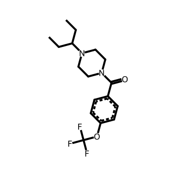 CCC(CC)N1CCN(C(=O)c2ccc(OC(F)(F)F)cc2)CC1